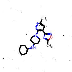 Cc1cc(-c2noc(C)n2)c(N2CCC(NC3CCCCC3)CC2)nn1